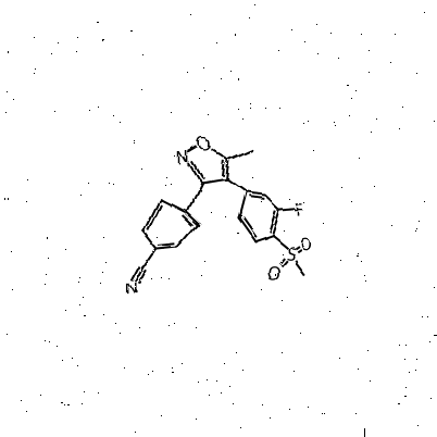 Cc1onc(-c2ccc(C#N)cc2)c1-c1ccc(S(C)(=O)=O)c(F)c1